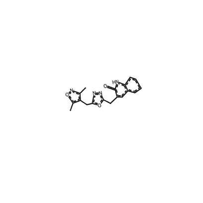 Cc1noc(C)c1Cc1nnc(Cc2cc3ccccc3[nH]c2=O)o1